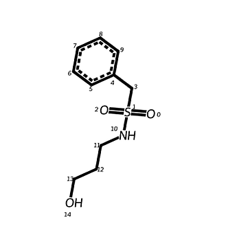 O=S(=O)(Cc1ccccc1)NCCCO